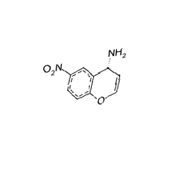 N[C@@H]1C=COc2ccc([N+](=O)[O-])cc21